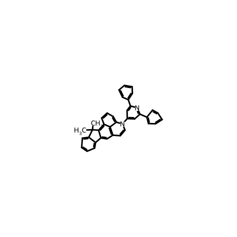 CC1(C)c2ccccc2-c2cc3c4c(cccc4c21)N(c1cc(-c2ccccc2)nc(-c2ccccc2)c1)C=C3